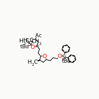 C=C1CC(CCCO[Si](c2ccccc2)(c2ccccc2)C(C)(C)C)OC1CC[C@H](CC(C)C(C)=O)O[Si](C)(C)C(C)(C)C